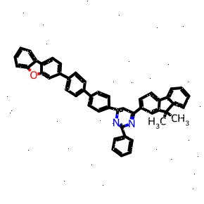 CC1(C)c2ccccc2-c2ccc(-c3cc(-c4ccc(-c5ccc(-c6ccc7c(c6)oc6ccccc67)cc5)cc4)nc(-c4ccccc4)n3)cc21